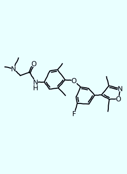 Cc1cc(NC(=O)CN(C)C)cc(C)c1Oc1cc(F)cc(-c2c(C)noc2C)c1